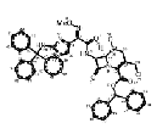 CO/N=C(/C(=O)NC1C(=O)N2C(C(=O)OC(c3ccccc3)c3ccccc3)=C(CCl)C[S+]([O-])[C@H]12)c1csc(NC(c2ccccc2)(c2ccccc2)c2ccccc2)n1